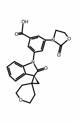 O=C(O)c1cc(N2CCOC2=O)cc(N2C(=O)[C@@]3(CC34CCOCC4)c3ccccc32)c1